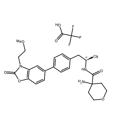 COCCn1c(=O)oc2ccc(-c3ccc(C[C@@H](C#N)NC(=O)C4(N)CCOCC4)cc3)cc21.O=C(O)C(F)(F)F